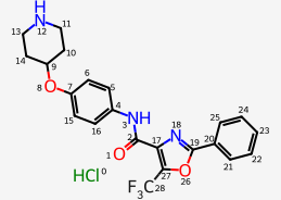 Cl.O=C(Nc1ccc(OC2CCNCC2)cc1)c1nc(-c2ccccc2)oc1C(F)(F)F